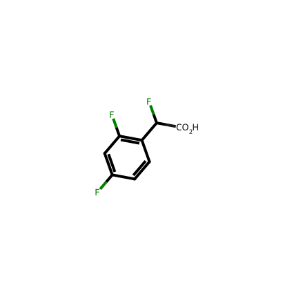 O=C(O)C(F)c1ccc(F)cc1F